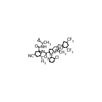 Cc1cc(C#N)cc(C(=O)NC(C)C2CC2)c1NC(=O)c1cc(CN(Cc2cc(C(F)(F)F)cc(C(F)(F)F)c2)S(C)(=O)=O)nn1-c1ncccc1Cl